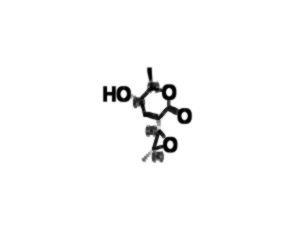 C[C@H]1OC(=O)C([C@@H]2O[C@@H]2C)=C[C@@H]1O